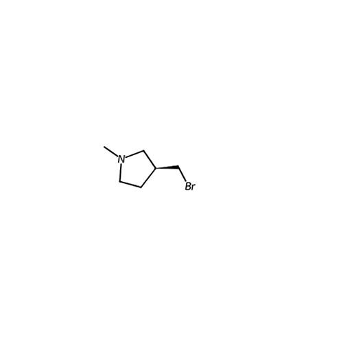 CN1CC[C@H](CBr)C1